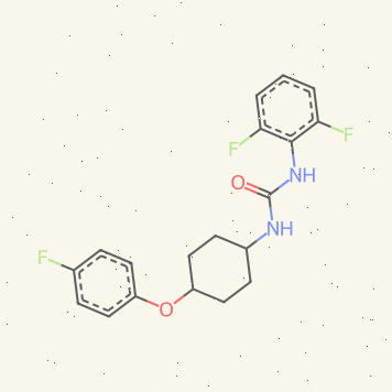 O=C(Nc1c(F)cccc1F)NC1CCC(Oc2ccc(F)cc2)CC1